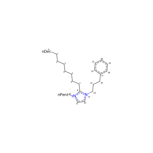 CCCCCCCCCCCCCCCCCc1n(CCCCC)cc[n+]1CCCc1ccccc1